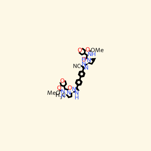 COC(=O)N[C@H](C(=O)N1C2CC2C[C@H]1c1nc(-c2ccc(-c3ccc(-c4c[nH]c([C@@H]5CC[C@@H](C)N5C(=O)[C@@H](NC(=O)OC)C5CCOCC5)n4)cc3)cc2)c(C#N)[nH]1)C1CCOCC1